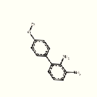 CCOc1ccc(-c2cccc(N)c2N)cc1